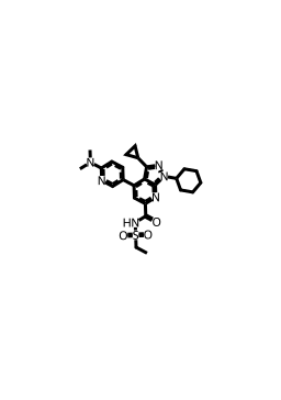 CCS(=O)(=O)NC(=O)c1cc(-c2ccc(N(C)C)nc2)c2c(C3CC3)nn(C3CCCCC3)c2n1